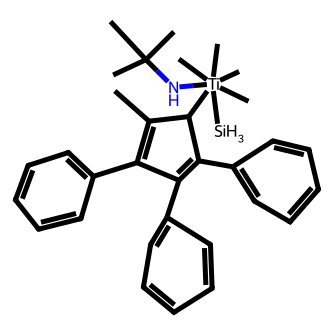 CC1=C(c2ccccc2)C(c2ccccc2)=C(c2ccccc2)[CH]1[Ti]([CH3])([CH3])([CH3])([CH3])([SiH3])[NH]C(C)(C)C